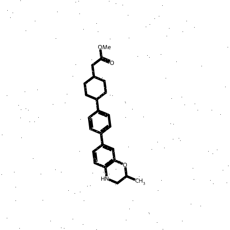 COC(=O)CC1CCC(c2ccc(-c3ccc4c(c3)OC(C)CN4)cc2)CC1